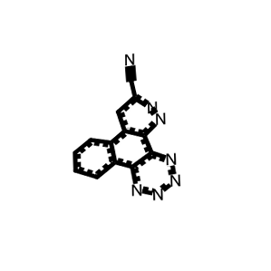 N#Cc1cc2c3ccccc3c3nnnnc3c2nn1